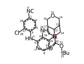 [C-]#[N+]c1ccc(Nc2ncnc(OC3C4COCC3CN(C(=O)OC(C)(C)C)C4)c2N)c(Cl)c1